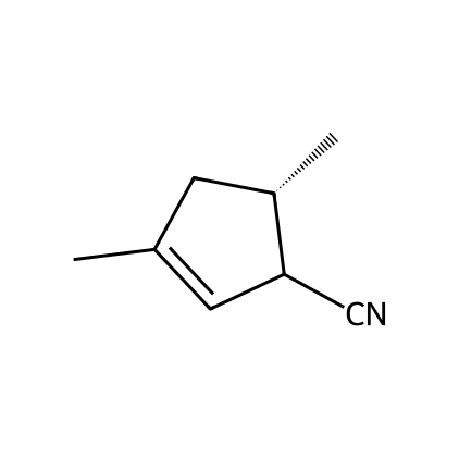 CC1=CC(C#N)[C@@H](C)C1